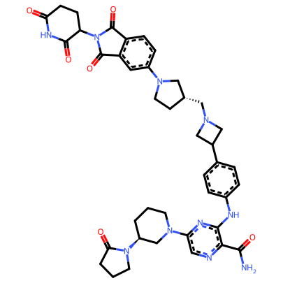 NC(=O)c1ncc(N2CCC[C@H](N3CCCC3=O)C2)nc1Nc1ccc(C2CN(C[C@@H]3CCN(c4ccc5c(c4)C(=O)N(C4CCC(=O)NC4=O)C5=O)C3)C2)cc1